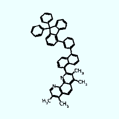 Cc1cnc2c(ccc3c(C)c(C)c(-c4cccc5c(-c6cccc(-c7cccc8c7-c7ccccc7C8(c7ccccc7)c7ccccc7)c6)cccc45)nc32)c1C